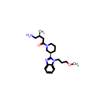 COCCCn1c([C@@H]2CCCN(C(=O)C[C@H](C)CN)C2)nc2ccccc21